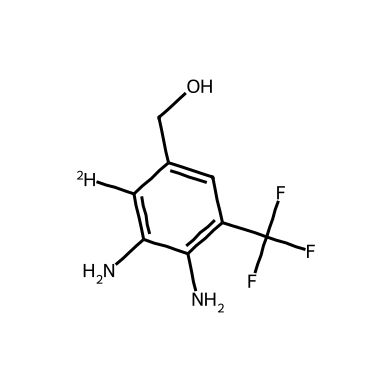 [2H]c1c(CO)cc(C(F)(F)F)c(N)c1N